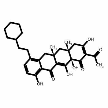 CC(=O)C1=C(O)C[C@@]2(C)C[C@@]3(C)Cc4c(CCC5CCCCC5)ccc(O)c4C(=O)C3=C(O)[C@@]2(O)C1=O